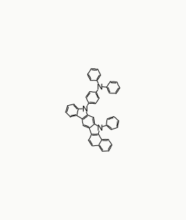 c1ccc(N(c2ccccc2)c2ccc(-n3c4ccccc4c4cc5c6ccc7ccccc7c6n(-c6ccccc6)c5cc43)cc2)cc1